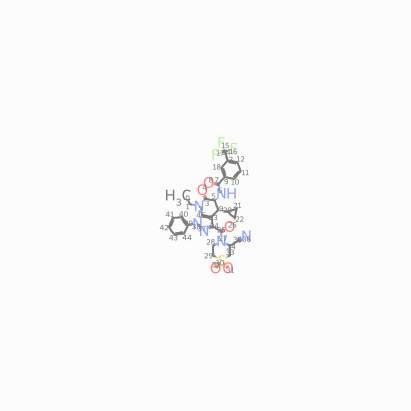 CCN1C(=O)[C@@H](NC(=O)c2cccc(C(F)(F)F)c2)[C@@H](C2CC2)c2c(C(=O)N3CCS(=O)(=O)CC3C#N)nn(-c3ccccc3)c21